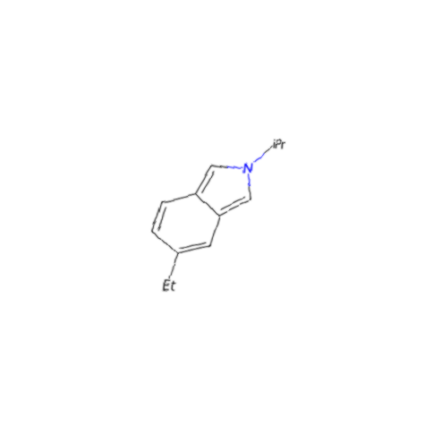 CCc1ccc2cn(C(C)C)cc2c1